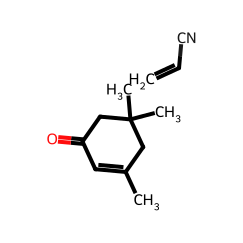 C=CC#N.CC1=CC(=O)CC(C)(C)C1